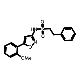 COc1ccccc1-c1cc(NS(=O)(=O)CCc2ccccc2)no1